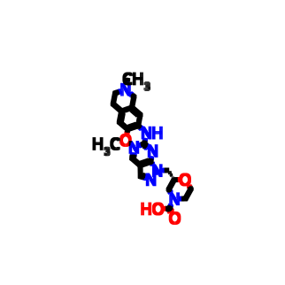 COc1cc2c(cc1Nc1ncc3cnn(C[C@H]4CN(C(=O)O)CCO4)c3n1)CN(C)CC2